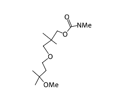 CNC(=O)OCC(C)(C)COCCC(C)(C)OC